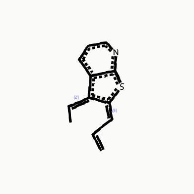 C=C/C=c1/sc2ncccc2/c1=C/C